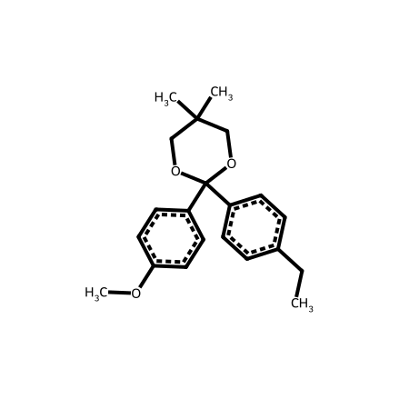 CCc1ccc(C2(c3ccc(OC)cc3)OCC(C)(C)CO2)cc1